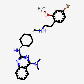 CN(C)c1nc(N[C@H]2CC[C@@H](CNCCc3ccc(Br)cc3OC(F)(F)F)CC2)nc2ccccc12